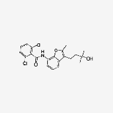 Cc1oc2c(NC(=O)c3c(Cl)cccc3Cl)cccc2c1CCC(C)(C)O